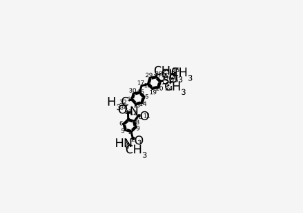 CNC(=O)c1ccc2c(c1)C(=O)N(c1ccc(Cc3ccc([Si](C)(C)OC)c(C)c3)cc1C)C2=O